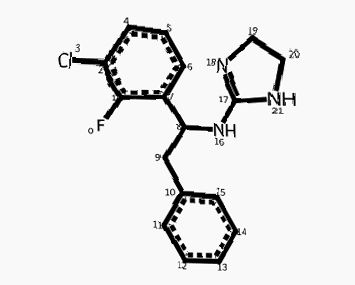 Fc1c(Cl)cccc1C(Cc1ccccc1)NC1=NCCN1